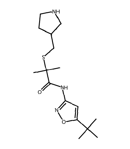 CC(C)(SCC1CCNC1)C(=O)Nc1cc(C(C)(C)C)on1